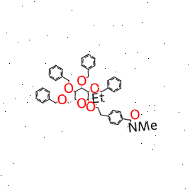 CC[C@]1(OCCc2ccc(C(=O)NC)cc2)O[C@H](COCc2ccccc2)[C@@H](OCc2ccccc2)[C@H](OCc2ccccc2)[C@@H]1OCc1ccccc1